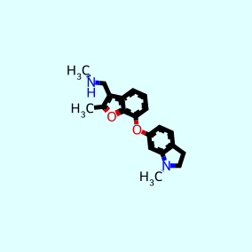 CNCc1c(C)oc2c(Oc3ccc4c(c3)N(C)CC4)cccc12